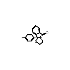 Cc1ccc([C@]23SCCN2C(=O)c2ccccc23)cc1